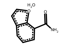 NC(=O)c1cccc2ccoc12.O